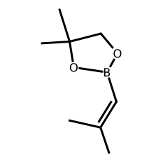 CC(C)=CB1OCC(C)(C)O1